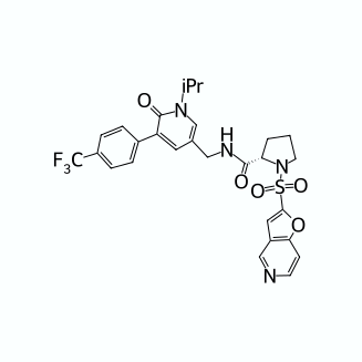 CC(C)n1cc(CNC(=O)[C@@H]2CCCN2S(=O)(=O)c2cc3cnccc3o2)cc(-c2ccc(C(F)(F)F)cc2)c1=O